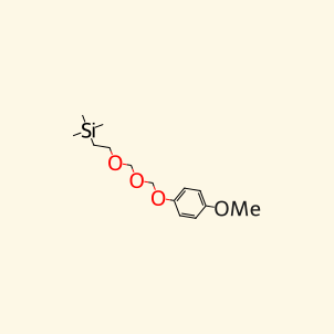 COc1ccc(OCOCOCC[Si](C)(C)C)cc1